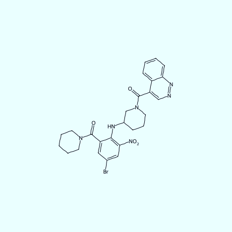 O=C(c1cc(Br)cc([N+](=O)[O-])c1NC1CCCN(C(=O)c2cnnc3ccccc23)C1)N1CCCCC1